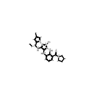 CC[C@@H](Nc1n[s+]([O-])nc1Nc1cccc(C(=O)N2CCCC2)c1O)c1cc(C)co1